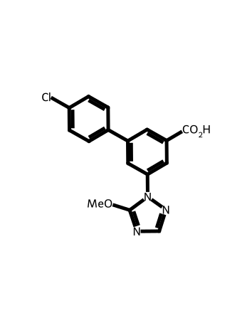 COc1ncnn1-c1cc(C(=O)O)cc(-c2ccc(Cl)cc2)c1